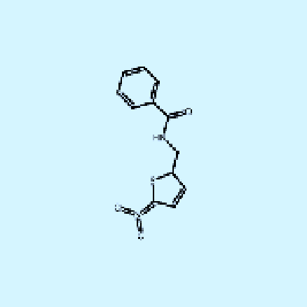 O=C(NCC1C=CC(=S(=O)=O)S1)c1ccccc1